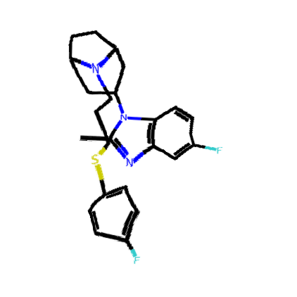 Cc1nc2cc(F)ccc2n1C1CC2CCC(C1)N2CCCSc1ccc(F)cc1